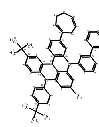 Cc1cc2c3c(c1)N(c1cccc(-c4ccccc4)c1)c1cc(C4=CCCC=CC4)ccc1B3c1cc(C(C)(C)C)ccc1N2C1=CC=C(C(C)(C)C)CC1